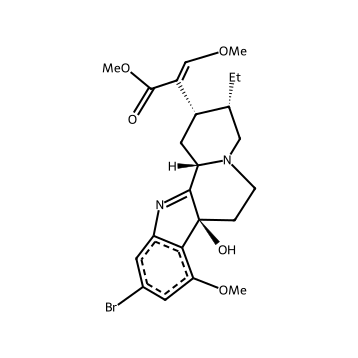 CC[C@@H]1CN2CC[C@@]3(O)C(=Nc4cc(Br)cc(OC)c43)[C@@H]2C[C@@H]1/C(=C\OC)C(=O)OC